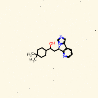 CC1(C)CCC(C(O)CC2c3ncccc3-c3cncn32)CC1